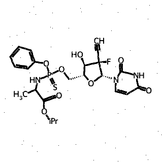 C#C[C@@]1(F)[C@H](O)[C@@H](COP(=S)(NC(C)C(=O)OC(C)C)Oc2ccccc2)O[C@H]1n1ccc(=O)[nH]c1=O